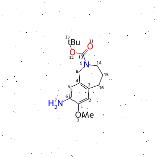 COc1cc2c(cc1N)CN(C(=O)OC(C)(C)C)CCC2